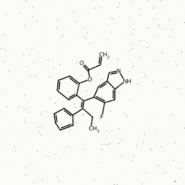 C=CC(=O)Oc1ccccc1/C(=C(/CC)c1ccccc1)c1cc2cn[nH]c2cc1F